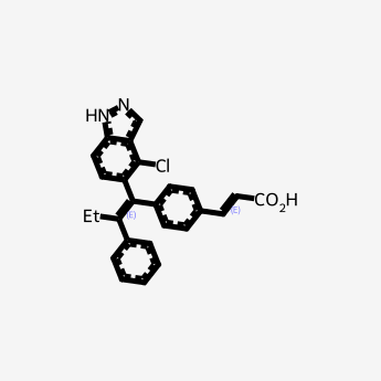 CC/C(=C(/c1ccc(/C=C/C(=O)O)cc1)c1ccc2[nH]ncc2c1Cl)c1ccccc1